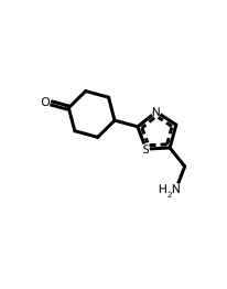 NCc1cnc(C2CCC(=O)CC2)s1